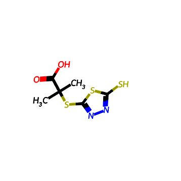 CC(C)(Sc1nnc(S)s1)C(=O)O